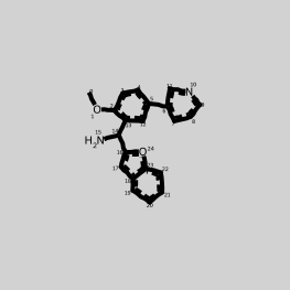 COc1ccc(-c2cccnc2)cc1C(N)c1cc2ccccc2o1